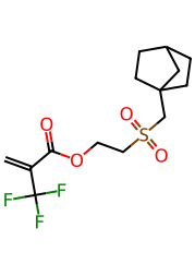 C=C(C(=O)OCCS(=O)(=O)CC12CCC(CC1)C2)C(F)(F)F